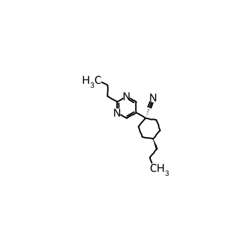 CCCc1ncc([C@]2(C#N)CC[C@H](CCC)CC2)cn1